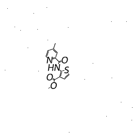 COC(=O)c1ccsc1NC(=O)c1cc(C)ccn1